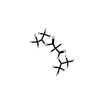 CC(C)(C(=O)OC(C(F)(F)F)C(F)(F)F)C(=O)OC(C(F)(F)F)C(F)(F)F